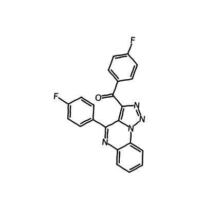 O=C(c1ccc(F)cc1)c1nnn2c1c(-c1ccc(F)cc1)nc1ccccc12